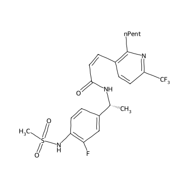 CCCCCc1nc(C(F)(F)F)ccc1/C=C\C(=O)N[C@H](C)c1ccc(NS(C)(=O)=O)c(F)c1